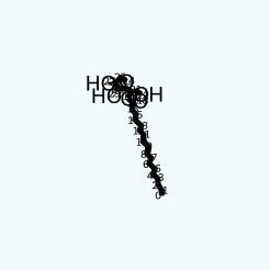 CCCCCCCC/C=C/CCCCCCCC(=O)O[C@H](CO)[C@H]1OC[C@H](O)[C@H]1O